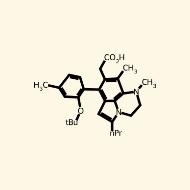 CCCc1cc2c(-c3ccc(C)cc3OC(C)(C)C)c(CC(=O)O)c(C)c3c2n1CCN3C